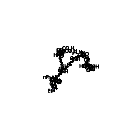 CCCc1cc2c(cc1C)C(c1ccccc1C(=O)N(C)CCCC(=O)NC(CCCSSCCC(=O)NCC#Cc1cn([C@H]3CC[C@@H](COP(=O)(O)OP(=O)(O)OP(=O)(O)O)O3)c(=O)nc1N)C(=O)NCCCCCC(=O)NC(CC(=O)O)C(=O)NC(CC(=O)O)C(=O)O)C1C=C(C)/C(=N/CC)C=C1O2